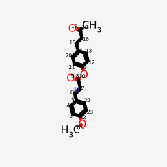 COc1ccc(/C=C/C(=O)Oc2ccc(CCC(C)=O)cc2)cc1